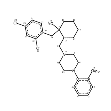 COc1ccccc1N1CCN(CC2CCCCC2(O)Cc2ccc(Cl)cc2Cl)CC1